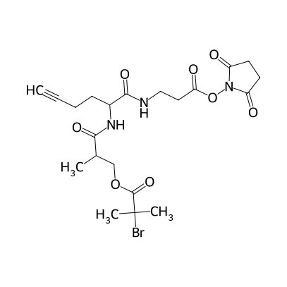 C#CCCC(NC(=O)C(C)COC(=O)C(C)(C)Br)C(=O)NCCC(=O)ON1C(=O)CCC1=O